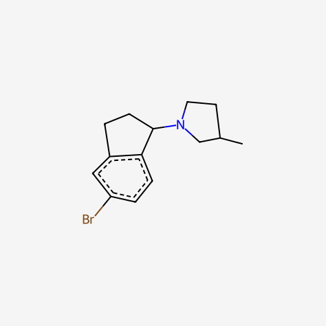 CC1CCN(C2CCc3cc(Br)ccc32)C1